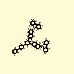 c1ccc(-c2ccc(-c3cc4c5cc6ccc(-n7c8ccccc8c8ccccc87)cc6cc5n5c6cc7cc(-n8c9ccccc9c9ccccc98)ccc7cc6c(c3)c45)cc2)cc1